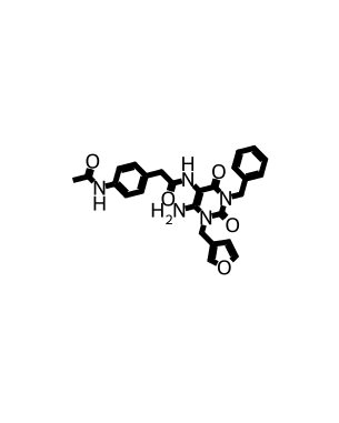 CC(=O)Nc1ccc(CC(=O)Nc2c(N)n(Cc3ccoc3)c(=O)n(Cc3ccccc3)c2=O)cc1